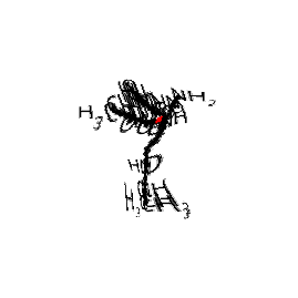 CC(C)CCCCC(=O)NCCCNC(=O)CCOCC(COCCC(=O)NCCCN)(COCCC(=O)NCCCN=O)NC(=O)CCCCCCCCCCC(=O)NCCCCCCNC(=O)/C=C/C(C)(C)C